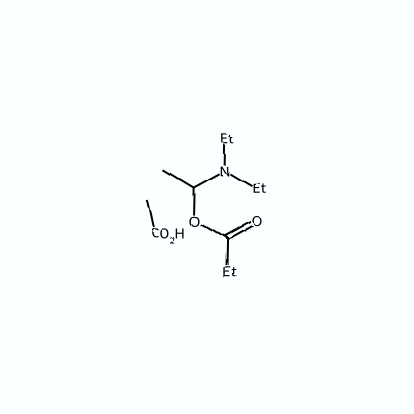 CC(=O)O.CCC(=O)OC(C)N(CC)CC